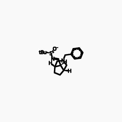 CC(C)(C)[S@@+]([O-])/N=C/[C@@H]1[C@@H]2CC[C@H]1CN(Cc1ccccc1)C2